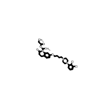 CCC(=O)OC(C)N1C(=O)CCc2ccc(OCCCCN3CCN(c4cccc(Cl)c4Cl)CC3)cc21